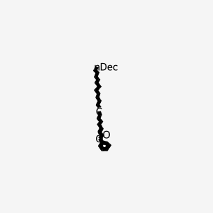 CCCCCCCCCCCCCCCCCCCCCCCCCCCC=CC(=O)Oc1ccccc1